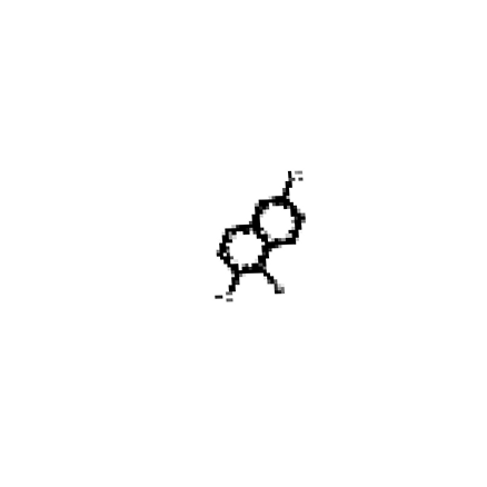 [CH2]Cc1ccc2c(Br)c(O)ccc2c1